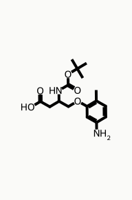 Cc1ccc(N)cc1OCC(CC(=O)O)NC(=O)OC(C)(C)C